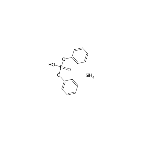 O=P(O)(Oc1ccccc1)Oc1ccccc1.[SiH4]